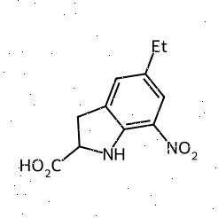 CCc1cc2c(c([N+](=O)[O-])c1)NC(C(=O)O)C2